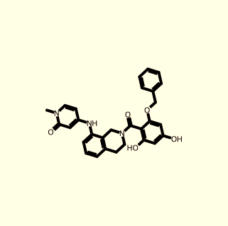 Cn1ccc(Nc2cccc3c2CN(C(=O)c2c(O)cc(O)cc2OCc2ccccc2)CC3)cc1=O